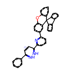 N=C(/C=C\C(=N)c1cccc(-c2ccc3c(c2)C2(c4ccccc4O3)c3ccccc3-c3ccccc32)n1)c1ccccc1